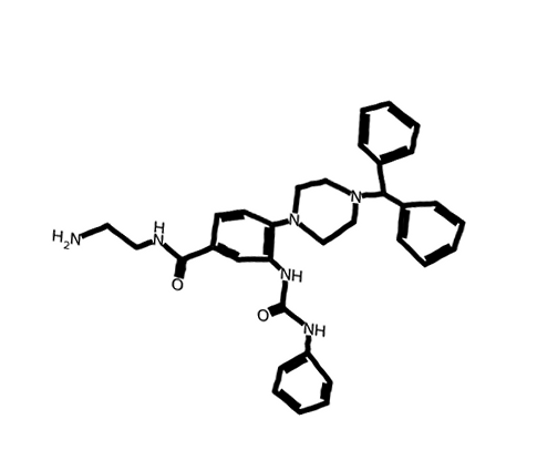 NCCNC(=O)c1ccc(N2CCN(C(c3ccccc3)c3ccccc3)CC2)c(NC(=O)Nc2ccccc2)c1